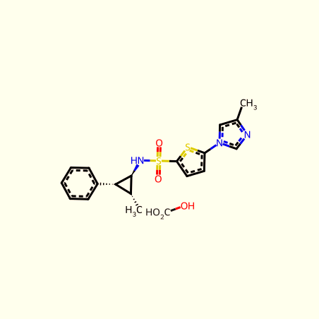 Cc1cn(-c2ccc(S(=O)(=O)N[C@H]3[C@H](C)[C@@H]3c3ccccc3)s2)cn1.O=C(O)O